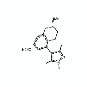 CN[C@H]1CCc2c(cccc2-c2c(C)nn(C)c2C)C1.Cl.Cl